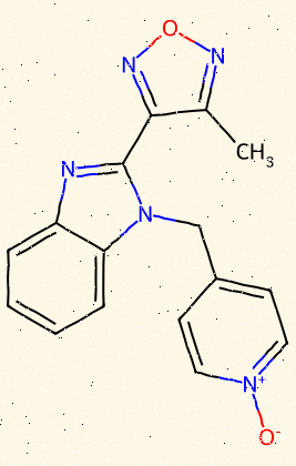 Cc1nonc1-c1nc2ccccc2n1Cc1cc[n+]([O-])cc1